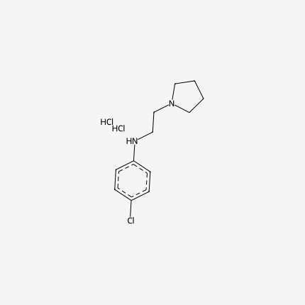 Cl.Cl.Clc1ccc(NCCN2CCCC2)cc1